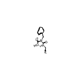 N#CCNC(=O)N(Cc1ccccc1)C(=O)O